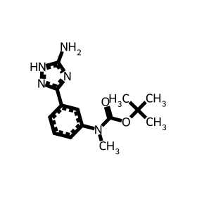 CN(C(=O)OC(C)(C)C)c1cccc(-c2n[nH]c(N)n2)c1